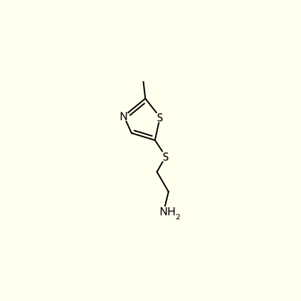 Cc1ncc(SCCN)s1